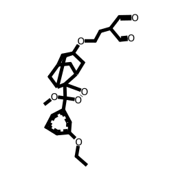 CCOc1cccc(C2(OC)OOC23C2CC4CC3CC(OCCC(C=O)C=O)(C4)C2)c1